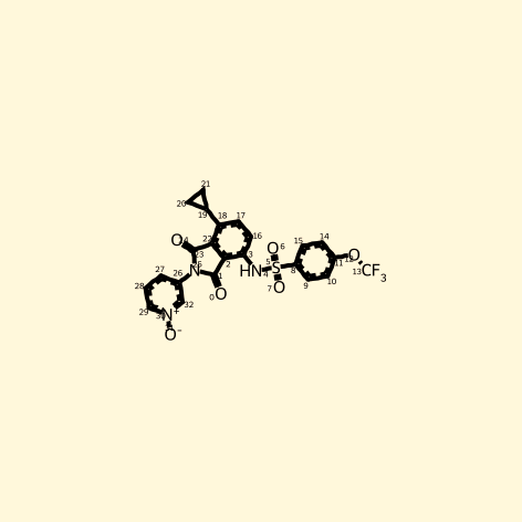 O=C1c2c(NS(=O)(=O)c3ccc(OC(F)(F)F)cc3)ccc(C3CC3)c2C(=O)N1c1ccc[n+]([O-])c1